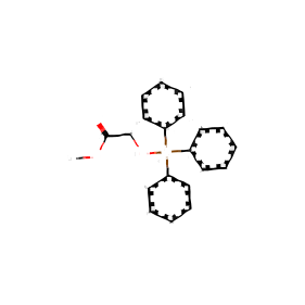 CC(C)(C)OC(=O)COS(c1ccccc1)(c1ccccc1)c1ccccc1